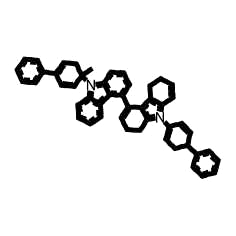 CC1(n2c3ccccc3c3c(C4=CCCc5c4c4c(n5C5=CCC(c6ccccc6)C=C5)C=CCC4)cccc32)C=CC(c2ccccc2)=CC1